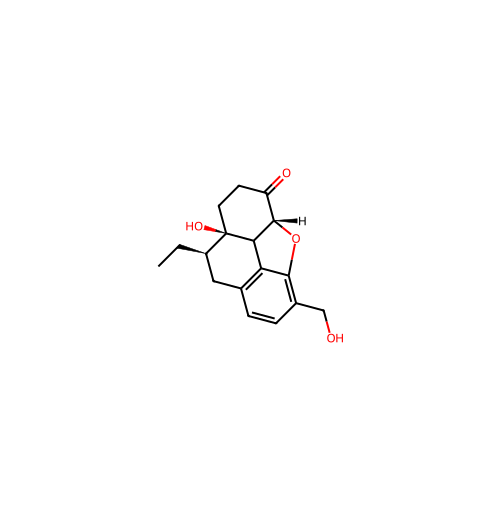 CC[C@@H]1Cc2ccc(CO)c3c2C2[C@@H](O3)C(=O)CC[C@]21O